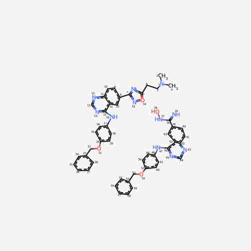 CN(C)CCc1nc(-c2ccc3ncnc(Nc4ccc(OCc5ccccc5)cc4)c3c2)no1.N=C(NO)c1ccc2ncnc(Nc3ccc(OCc4ccccc4)cc3)c2c1